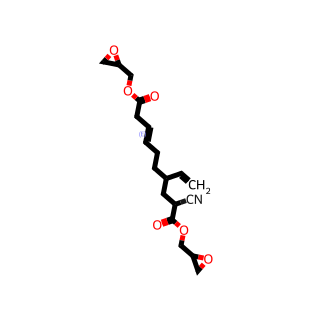 C=CC(CC/C=C/CC(=O)OCC1CO1)CC(C#N)C(=O)OCC1CO1